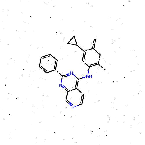 C=C1CC(C)=C(Nc2nc(-c3ccccc3)nc3cnccc23)C=C1C1CC1